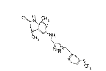 Cc1nc(NCc2cn(Cc3cccc(SC(F)(F)F)c3)nn2)cc2c1NC(=O)CN2C